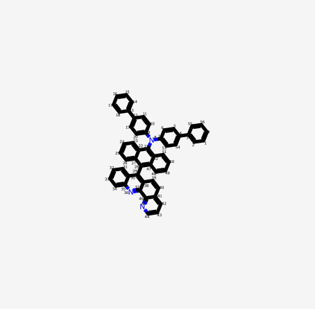 c1ccc(-c2ccc(N(c3ccc(-c4ccccc4)cc3)c3c4ccccc4c(-c4c5ccccc5nc5c4ccc4cccnc45)c4ccccc34)cc2)cc1